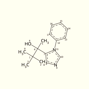 CC(C)(C)C(C)(O)c1cncn1-c1ccccc1